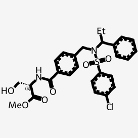 CCC(c1ccccc1)N(Cc1ccc(C(=O)N[C@@H](CO)C(=O)OC)cc1)S(=O)(=O)c1ccc(Cl)cc1